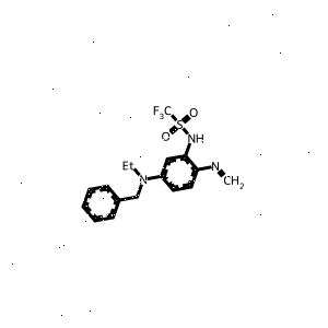 C=Nc1ccc(N(CC)Cc2ccccc2)cc1NS(=O)(=O)C(F)(F)F